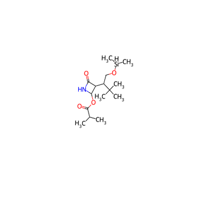 CC(C)C(=O)OC1NC(=O)C1C(CO[SiH](C)C)C(C)(C)C